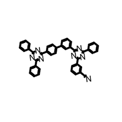 N#Cc1cccc(-c2nc(-c3ccccc3)nc(-c3cccc(-c4ccc(-c5nc(-c6ccccc6)nc(-c6ccccc6)n5)cc4)c3)n2)c1